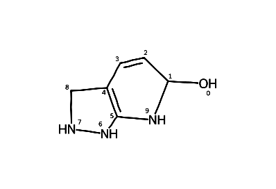 OC1C=CC2=C(NNC2)N1